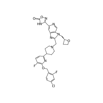 O=c1[nH]c(-c2cc3nc(CN4CCC(c5ccc(F)c(OCc6ccc(Cl)cc6F)n5)CC4)n(C[C@@H]4CCO4)c3cn2)no1